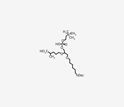 CCCCCCCCCCCCCCCCOCC(COP(=O)(O)OCC[N+](C)(C)C)OCCCC(C)C(=O)O